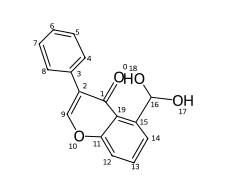 O=c1c(-c2ccccc2)coc2cccc(C(O)O)c12